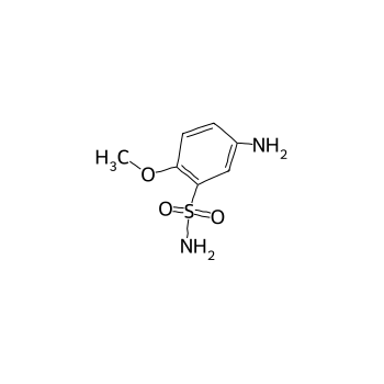 COc1ccc(N)cc1S(N)(=O)=O